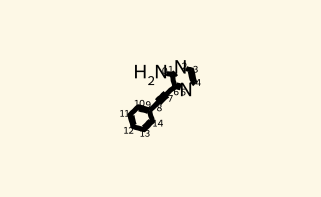 Nc1nccnc1C#Cc1ccccc1